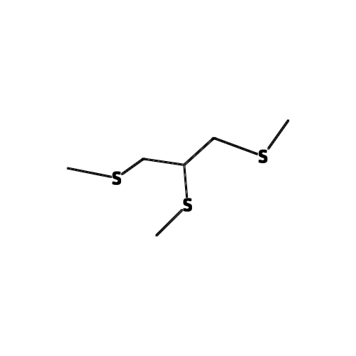 CSCC(CSC)SC